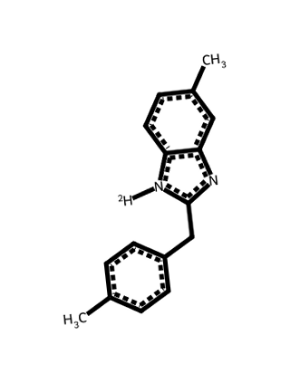 [2H]n1c(Cc2ccc(C)cc2)nc2cc(C)ccc21